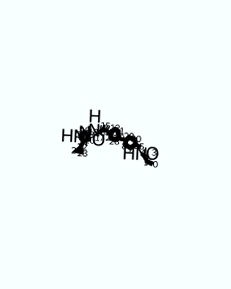 C=CC(=O)NCc1ccc(-c2ccc([C@H](C)C(=O)Nc3cc(C4CC4)[nH]n3)cc2)cc1